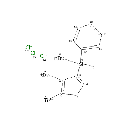 CCCC[Si](C)(C1=CC[C]([Ti+3])=C1C(C)(C)C)c1ccccc1.[Cl-].[Cl-].[Cl-]